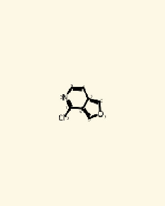 Clc1nccc2cocc12